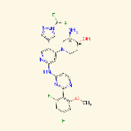 COc1cc(F)cc(F)c1-c1nccc(Nc2cc(N3CC[C@@H](O)[C@H](N)C3)c(-c3cnn(C(F)F)c3)cn2)n1